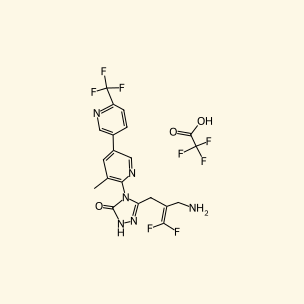 Cc1cc(-c2ccc(C(F)(F)F)nc2)cnc1-n1c(CC(CN)=C(F)F)n[nH]c1=O.O=C(O)C(F)(F)F